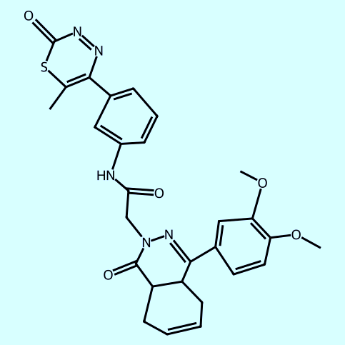 COc1ccc(C2=NN(CC(=O)Nc3cccc(-c4nnc(=O)sc4C)c3)C(=O)C3CC=CCC23)cc1OC